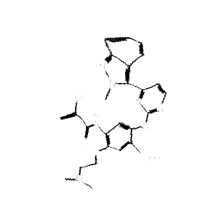 C=C(Cl)C(=O)Nc1cc(Nc2nccc(-c3c4ccccc4nn3C)n2)c(OC)cc1SCCN(C)C